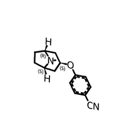 CN1[C@@H]2CC[C@H]1C[C@H](Oc1ccc(C#N)cc1)C2